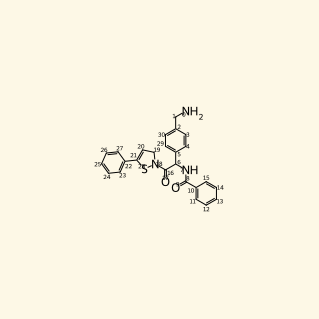 NCc1ccc(C(NC(=O)c2ccccc2)C(=O)N2CC=C(c3ccccc3)S2)cc1